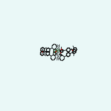 CC1=CC2=C(C=CC=CC2c2ccc(-c3c(C)cccc3C)cc2)[C]12[SiH](C)[C]1(C(C)=CC3=C1C=CC=CC3c1ccc(-c3c(C)cccc3C)cc1)[Hf]21([Cl])([Cl])[C]2(C(C)=CC3=C2C=CC=CC3c2ccc(-c3c(C)cccc3C)cc2)[SiH](C)[C]12C(C)=CC1=C2C=CC=CC1c1ccc(-c2c(C)cccc2C)cc1